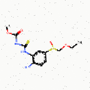 CCOC[S+]([O-])c1ccc(N)c(NC(=S)NC(=O)OC)c1